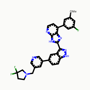 COc1cc(F)cc(-c2ccnc3[nH]c(-c4n[nH]c5ccc(-c6cncc(CN7CCC(F)(F)C7)c6)cc45)nc23)c1